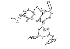 OCC1CC(O)C[C@H](c2ccc(Cl)c(Cc3ccc(C4CC4)cc3)c2)C1